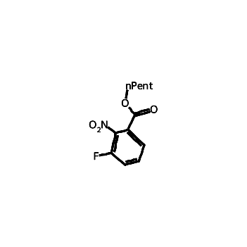 CCCCCOC(=O)c1cccc(F)c1[N+](=O)[O-]